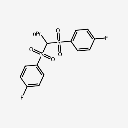 CCCC(S(=O)(=O)c1ccc(F)cc1)S(=O)(=O)c1ccc(F)cc1